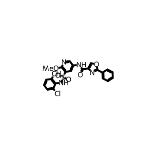 COc1ncc(NC(=O)c2coc(-c3ccccc3)n2)cc1S(=O)(=O)Nc1c(C)cccc1Cl